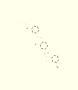 CC(C)C(=O)c1cccc(C2CC(=O)c3cc(S(=O)(=O)Nc4cccc5c4COC5=O)ccc3N2)c1